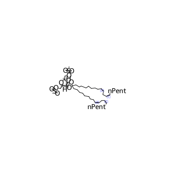 CCCCC/C=C\C/C=C\CCCCCCCCC1(CCCCCCCC/C=C\C/C=C\CCCCC)O[C@H]2[C@H](O1)[C@@H](COS(C)(=O)=O)O[C@H]2COS(C)(=O)=O